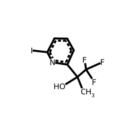 CC(O)(c1cccc(I)n1)C(F)(F)F